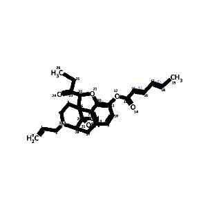 C=CCN1CCC23c4c(ccc(OC(=O)/C=C/C=C/C)c4OC2C(=O)CC)CC1C3(C)O